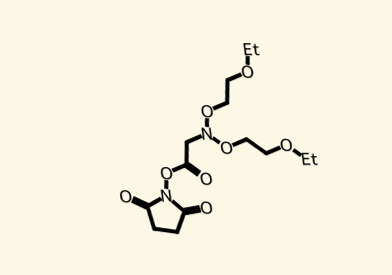 CCOCCON(CC(=O)ON1C(=O)CCC1=O)OCCOCC